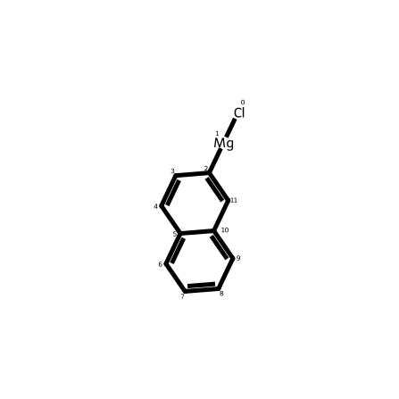 [Cl][Mg][c]1ccc2ccccc2c1